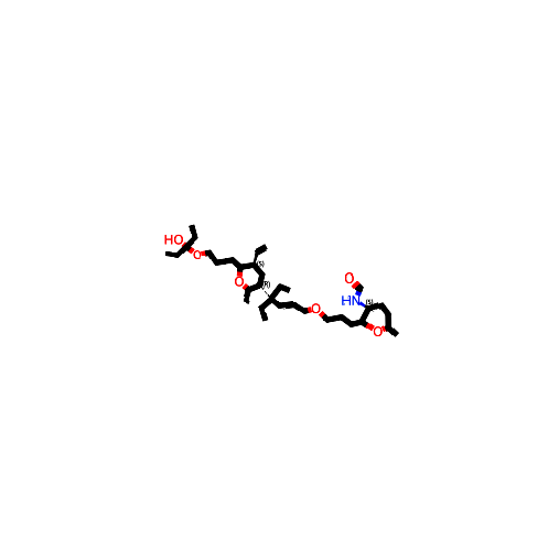 CC[C@H]1C[C@H](C(CC)(CC)CCCOCCCC2OC(C)CC[C@@H]2NC=O)C(C)OC1CCCOC(O)(CC)CC